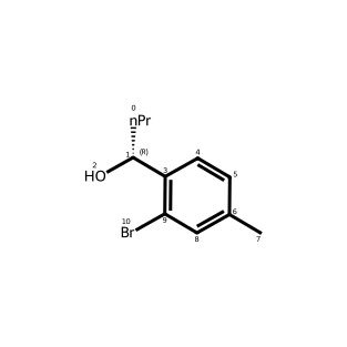 CCC[C@@H](O)c1ccc(C)cc1Br